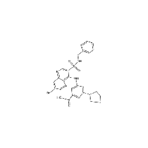 O=C(O)c1cc(Nc2c(S(=O)(=O)NCc3ccccc3)cnc3cc(Br)ccc23)cc(C2CCCC2)c1